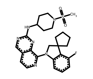 CS(=O)(=O)N1CCC(Nc2ncc3ccnc(N4CC5(CCCC5)c5c(F)cccc54)c3n2)CC1